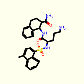 Cc1ccc(S(=O)(=O)NC(CCCN)C(=O)NC2c3ccccc3CCC2C(N)=O)c2ccccc12